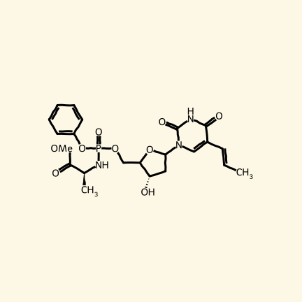 C/C=C/c1cn(C2C[C@H](O)C(COP(=O)(N[C@@H](C)C(=O)OC)Oc3ccccc3)O2)c(=O)[nH]c1=O